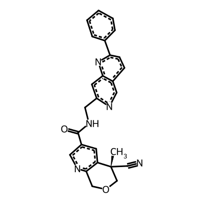 C[C@@]1(C#N)COCc2ncc(C(=O)NCc3cc4nc(-c5ccccc5)ccc4cn3)cc21